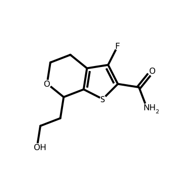 NC(=O)c1sc2c(c1F)CCOC2CCO